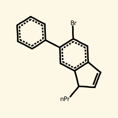 CCCC1C=Cc2cc(Br)c(-c3ccccc3)cc21